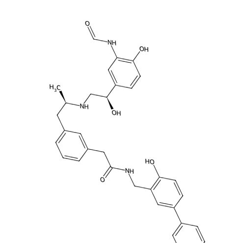 C[C@H](Cc1cccc(CC(=O)NCc2cc(-c3ccccc3)ccc2O)c1)NC[C@H](O)c1ccc(O)c(NC=O)c1